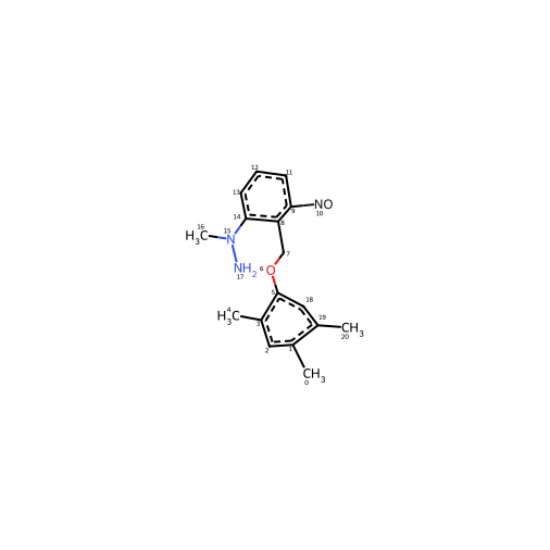 Cc1cc(C)c(OCc2c(N=O)cccc2N(C)N)cc1C